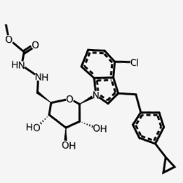 COC(=O)NNC[C@H]1O[C@@H](n2cc(Cc3ccc(C4CC4)cc3)c3c(Cl)cccc32)[C@H](O)[C@@H](O)[C@@H]1O